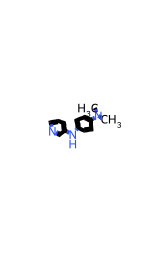 CN(C)c1ccc(Nc2cccnc2)cc1